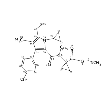 CCOC(=O)C1(N(C)C(=O)c2c(-c3ccc(Cl)cc3)c(C)c(CF)n2C2CC2)CC1